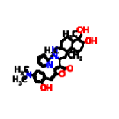 C=C1CCC2[C@](C)(CC[C@@H](O)[C@@]2(C)CO)C1CC(Nc1ccccn1)C1=C/C(=C\c2ccc(N(C)C)cc2O)OC1=O